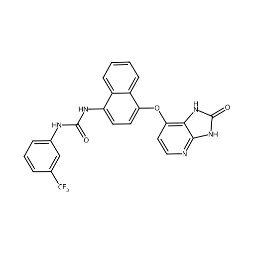 O=C(Nc1cccc(C(F)(F)F)c1)Nc1ccc(Oc2ccnc3[nH]c(=O)[nH]c23)c2ccccc12